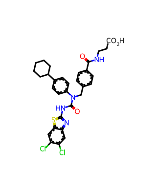 O=C(O)CCNC(=O)c1ccc(CN(C(=O)Nc2nc3cc(Cl)c(Cl)cc3s2)c2ccc(C3CCCCC3)cc2)cc1